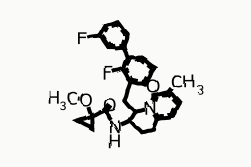 COC1(C(=O)NC2CCc3ccc(C)c(=O)n3C2Cc2cccc(-c3cccc(F)c3)c2F)CC1